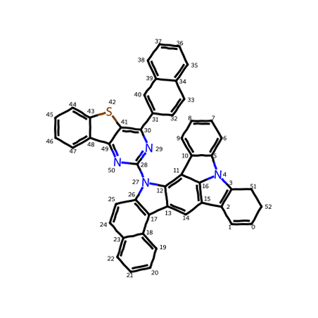 C1=Cc2c(n3c4ccccc4c4c5c(cc2c43)c2c3ccccc3ccc2n5-c2nc(-c3ccc4ccccc4c3)c3sc4ccccc4c3n2)CC1